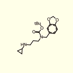 CC(C)(C)OC(=O)N(CCCNC1CC1)Cc1ccc2c(c1)OCO2